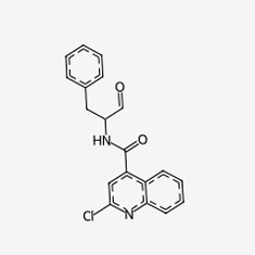 O=CC(Cc1ccccc1)NC(=O)c1cc(Cl)nc2ccccc12